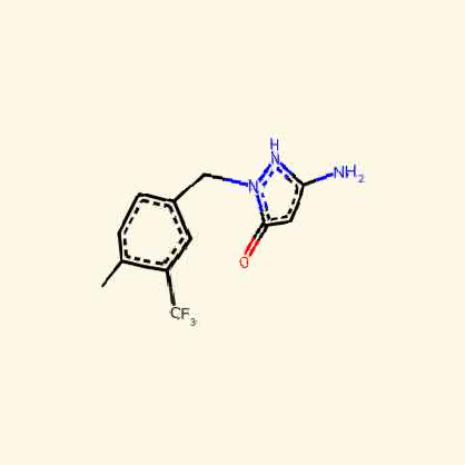 Cc1ccc(Cn2[nH]c(N)cc2=O)cc1C(F)(F)F